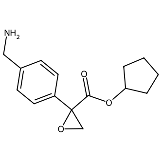 NCc1ccc(C2(C(=O)OC3CCCC3)CO2)cc1